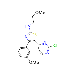 COCCNc1nc(-c2cccc(OC)c2)c(-c2ccnc(Cl)n2)s1